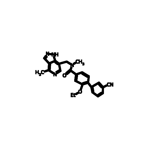 CCOc1cc(C(=O)N(C)Cc2cnc(C)c3cn[nH]c23)ccc1-c1cccc(C#N)c1